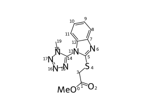 COC(=O)CSc1nc2ccccc2n1-c1nnnn1C